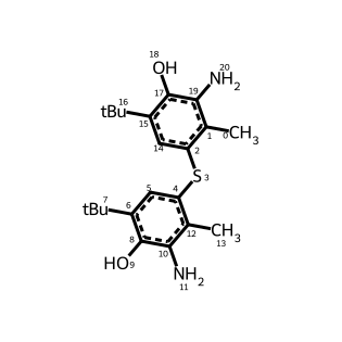 Cc1c(Sc2cc(C(C)(C)C)c(O)c(N)c2C)cc(C(C)(C)C)c(O)c1N